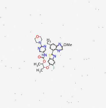 COc1cnc2c(-c3nc4cc(F)c(O[C@@H](C)[C@@H](C)OC(=O)Nc5cnc(N6CCOCC6)nc5)cc4s3)cc(C)cc2n1